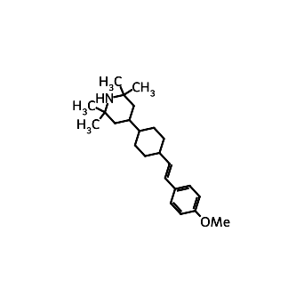 COc1ccc(/C=C/C2CCC(C3CC(C)(C)NC(C)(C)C3)CC2)cc1